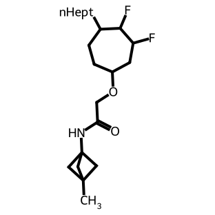 CCCCCCCC1CCC(OCC(=O)NC23CC(C)(C2)C3)CC(F)C1F